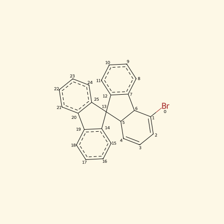 BrC1=CC=CC2C1c1ccccc1C21c2ccccc2-c2ccccc21